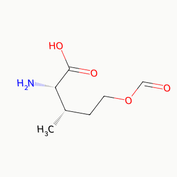 C[C@@H](CCOC=O)[C@H](N)C(=O)O